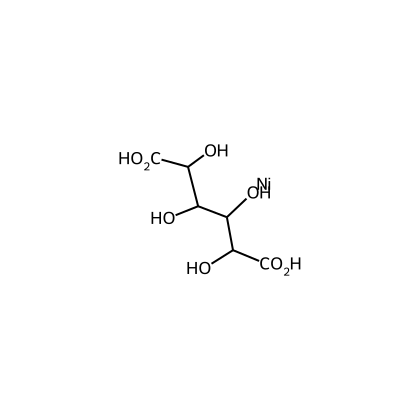 O=C(O)C(O)C(O)C(O)C(O)C(=O)O.[Ni]